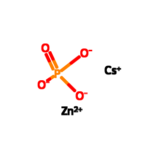 O=P([O-])([O-])[O-].[Cs+].[Zn+2]